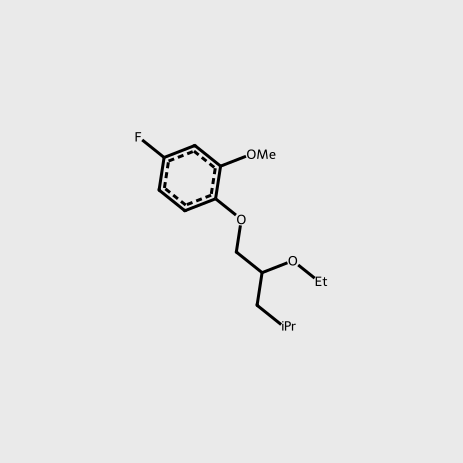 CCOC(COc1ccc(F)cc1OC)CC(C)C